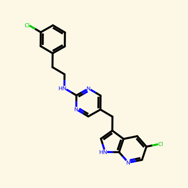 Clc1cccc(CCNc2ncc(Cc3c[nH]c4ncc(Cl)cc34)cn2)c1